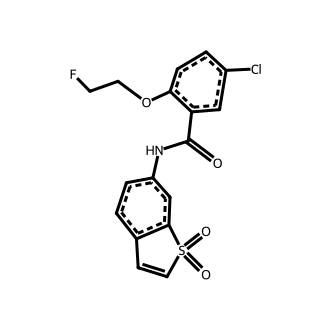 O=C(Nc1ccc2c(c1)S(=O)(=O)C=C2)c1cc(Cl)ccc1OCCF